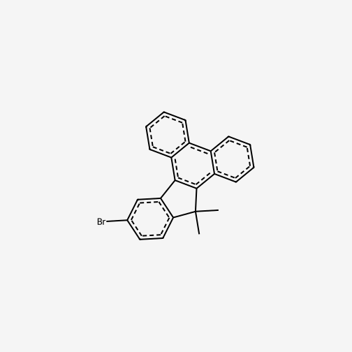 CC1(C)c2ccc(Br)cc2-c2c1c1ccccc1c1ccccc21